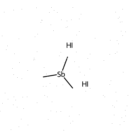 I.I.[CH3][Sb]([CH3])[CH3]